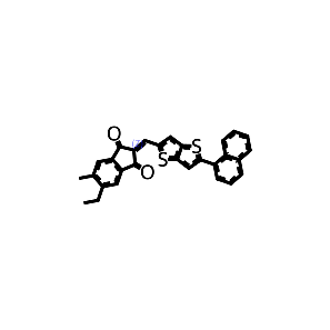 CCc1cc2c(cc1C)C(=O)/C(=C/c1cc3sc(-c4cccc5ccccc45)cc3s1)C2=O